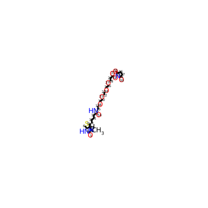 CN1C(=O)NC2CS[C@@H](CCCCC(=O)NCCOCCOCCOCCOCCC(=O)ON3C(=O)CCC3=O)[C@H]21